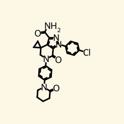 NC(=O)c1nn(-c2ccc(Cl)cc2)c2c1C1(CC1)CN(c1ccc(N3CCCCC3=O)cc1)C2=O